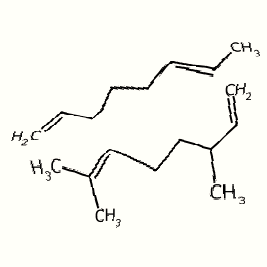 C=CC(C)CCC=C(C)C.C=CCCCC=CC